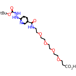 CC(C)(C)OC(=O)NNc1ccc(C(=O)NCCOCCOCCOCCOCCC(=O)O)cn1